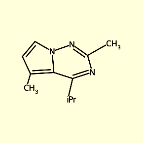 Cc1nc(C(C)C)c2c(C)ccn2n1